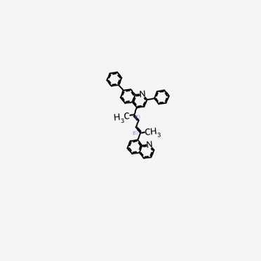 C/C(=C\C=C(/C)c1cccc2cccnc12)c1cc(-c2ccccc2)nc2cc(-c3ccccc3)ccc12